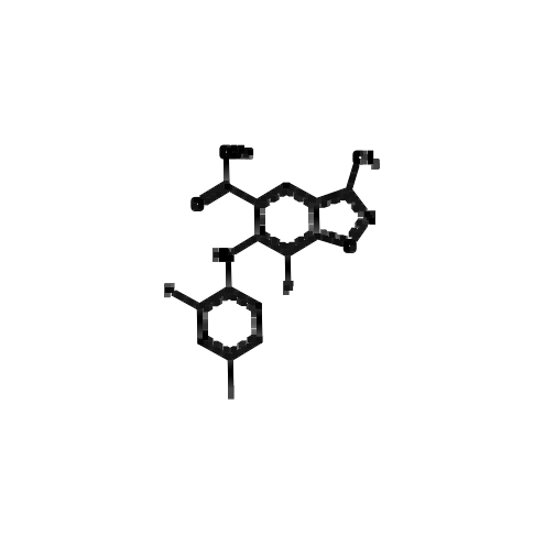 COC(=O)c1cc2c(C)noc2c(F)c1Nc1ccc(I)cc1F